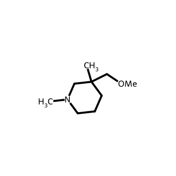 COCC1(C)CCCN(C)C1